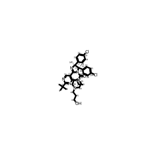 CCOc1nc(C(C)(C)C)ncc1C1=N[C@@](C)(c2ccc(Cl)cc2)[C@@](C)(c2ccc(Cl)cc2)N1C(=O)N1CCN(CCCO)CC1